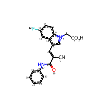 N#C/C(=C\c1cn(CC(=O)O)c2ccc(F)cc12)C(=O)Nc1ccccc1